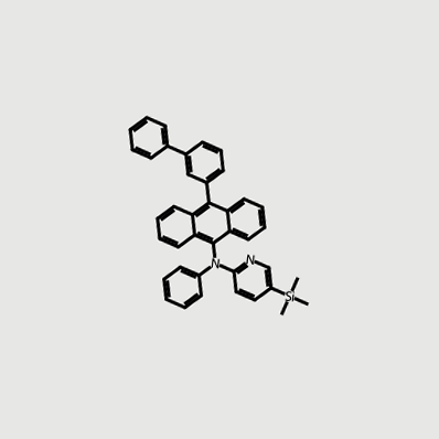 C[Si](C)(C)c1ccc(N(c2ccccc2)c2c3ccccc3c(-c3cccc(-c4ccccc4)c3)c3ccccc23)nc1